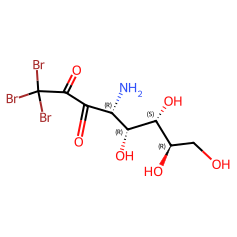 N[C@@H](C(=O)C(=O)C(Br)(Br)Br)[C@@H](O)[C@H](O)[C@H](O)CO